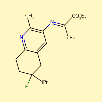 CCCC/C(=N\c1cc2c(nc1C)CCC(F)(C(C)C)C2)C(=O)OCC